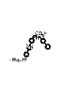 CCCCCCCOc1ccc(-c2cnc(-c3ccc(C[C@H](NC(=O)c4ccc(-c5ccccc5)cc4)C(=O)O)cc3)nc2)cc1